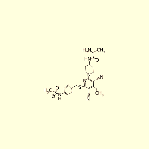 CCc1c(C#N)c(SCc2ccc(NS(C)(=O)=O)cc2)nc(N2CCC(NC(=O)C(C)N)CC2)c1C#N